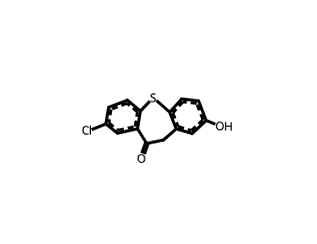 O=C1Cc2cc(O)ccc2Sc2ccc(Cl)cc21